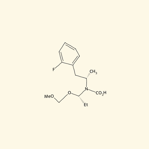 CC[C@H](OCOC)N(C(=O)O)[C@@H](C)Cc1ccccc1F